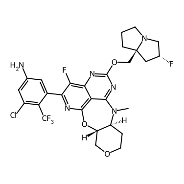 CN1c2nc(OC[C@@]34CCCN3C[C@H](F)C4)nc3c(F)c(-c4cc(N)cc(Cl)c4C(F)(F)F)nc(c23)O[C@H]2COCC[C@@H]21